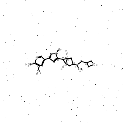 CC(C)n1nc(-c2cnc(N)c(C(F)(F)F)c2)cc1C1[C@H]2CC(N(C)CC3COC3)C[C@@H]12